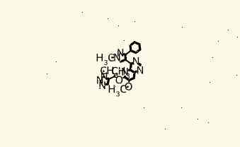 COc1cc2ncnc(-c3cn(C)nc3-c3ccccc3)c2nc1OC(C)c1cnnn1C